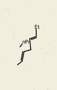 CC=CCC=CCC.CCCC